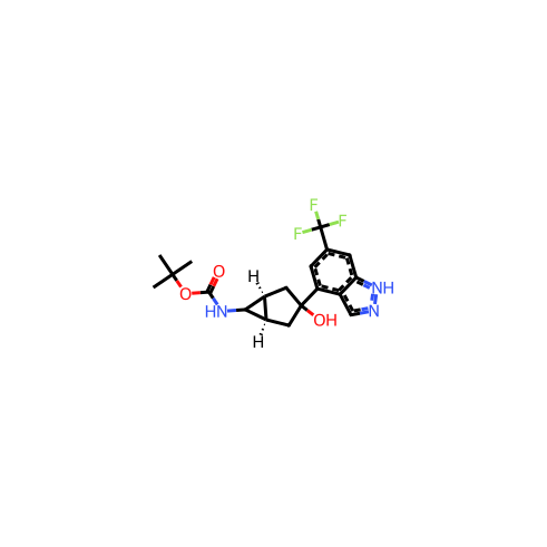 CC(C)(C)OC(=O)NC1[C@H]2CC(O)(c3cc(C(F)(F)F)cc4[nH]ncc34)C[C@@H]12